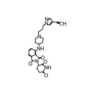 C#Cc1cnn(CCCN2CCC(Nc3cccc4c3C(=O)N(C3CCC(=O)NC3=O)C4=O)CC2)c1